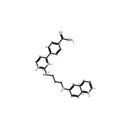 NC(=O)c1ccc(-c2ccnc(NCCCOc3ccc4ncccc4c3)n2)cc1